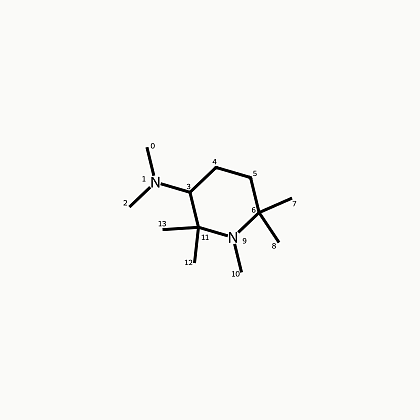 CN(C)C1CCC(C)(C)N(C)C1(C)C